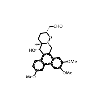 COc1ccc2c3c(c4cc(OC)c(OC)cc4c2c1)CN1O[C@@H](CC=O)CC[C@H]1[C@H]3O